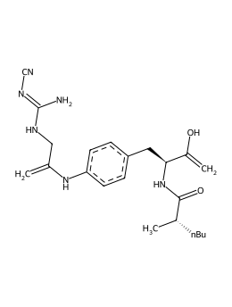 C=C(CN/C(N)=N/C#N)Nc1ccc(C[C@H](NC(=O)[C@@H](C)CCCC)C(=C)O)cc1